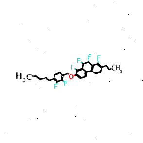 CCCCCc1ccc(COc2ccc3c(c2F)C(F)[C@@H](F)c2c-3ccc(CCC)c2F)c(F)c1F